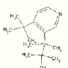 CC(C)(C)c1ccncc1C(C)(C)C(C)(C)C